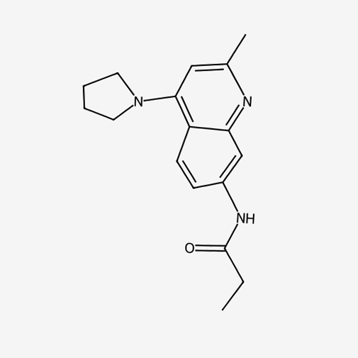 CCC(=O)Nc1ccc2c(N3CCCC3)cc(C)nc2c1